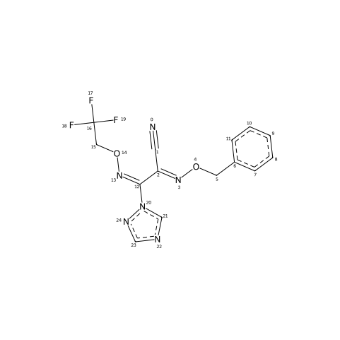 N#CC(=N\OCc1ccccc1)/C(=N\OCC(F)(F)F)n1cncn1